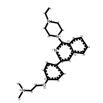 CCN1CCN(c2nc(-c3ccc(OCCN(C)C)cc3)cc3ccccc23)CC1